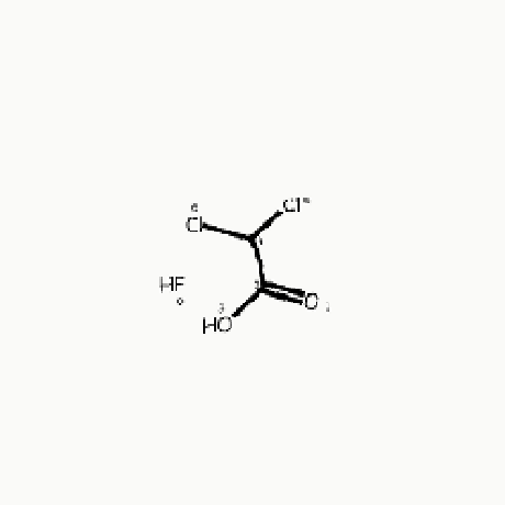 F.O=C(O)C(Cl)Cl